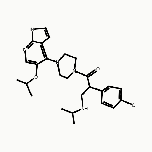 CC(C)NCC(C(=O)N1CCN(c2c(OC(C)C)cnc3[nH]ccc23)CC1)c1ccc(Cl)cc1